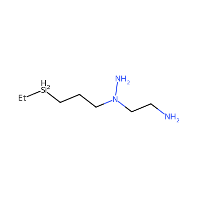 CC[SiH2]CCCN(N)CCN